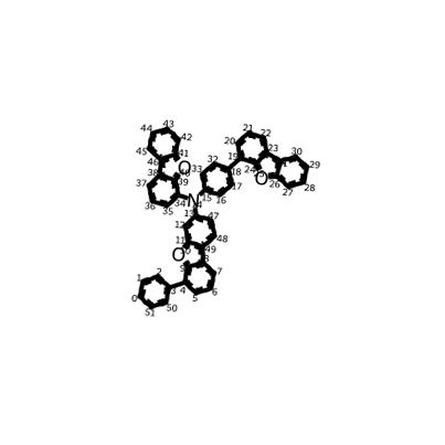 c1ccc(-c2cccc3c2oc2cc(N(c4ccc(-c5cccc6c5oc5ccccc56)cc4)c4cccc5c4oc4ccccc45)ccc23)cc1